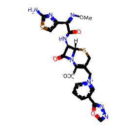 CO/N=C(\C(=O)N[C@@H]1C(=O)N2C(C(=O)[O-])=C(C[n+]3cccc(-c4nnco4)c3)CS[C@@H]12)c1csc(N)n1